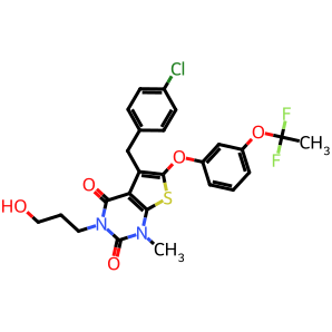 Cn1c(=O)n(CCCO)c(=O)c2c(Cc3ccc(Cl)cc3)c(Oc3cccc(OC(C)(F)F)c3)sc21